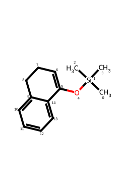 C[Si](C)(C)OC1=CCCc2ccccc21